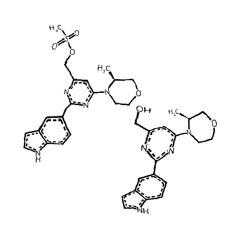 C[C@H]1COCCN1c1cc(CO)nc(-c2ccc3[nH]ccc3c2)n1.C[C@H]1COCCN1c1cc(COS(C)(=O)=O)nc(-c2ccc3[nH]ccc3c2)n1